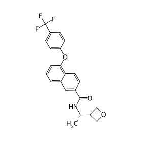 C[C@H](NC(=O)c1ccc2c(Oc3ccc(C(F)(F)F)cc3)cccc2c1)C1COC1